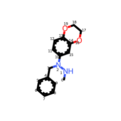 CNN(Cc1ccccc1)c1ccc2c(c1)OCCO2